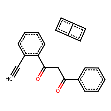 C#Cc1ccccc1C(=O)CC(=O)c1ccccc1.c1cc2ccc1-2